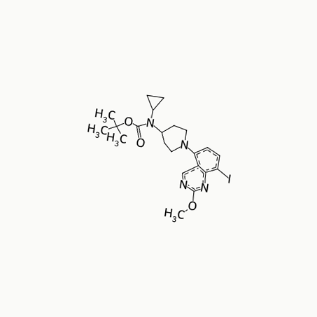 COc1ncc2c(N3CCC(N(C(=O)OC(C)(C)C)C4CC4)CC3)ccc(I)c2n1